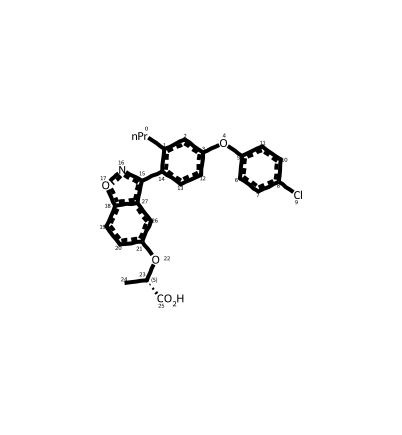 CCCc1cc(Oc2ccc(Cl)cc2)ccc1-c1noc2ccc(O[C@@H](C)C(=O)O)cc12